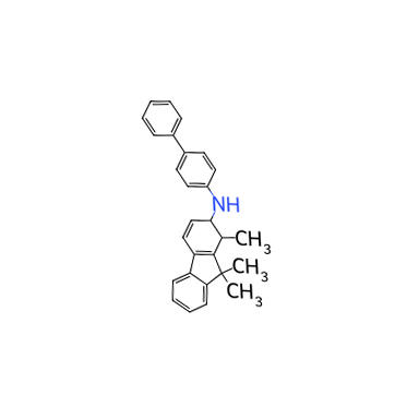 CC1C2=C(C=CC1Nc1ccc(-c3ccccc3)cc1)c1ccccc1C2(C)C